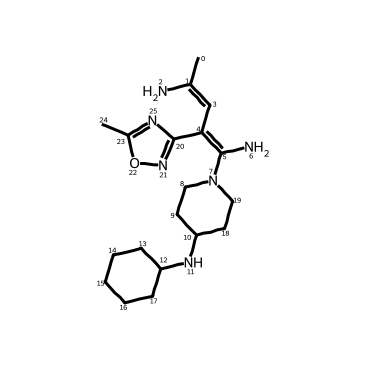 C/C(N)=C/C(=C(\N)N1CCC(NC2CCCCC2)CC1)c1noc(C)n1